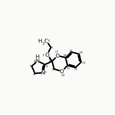 CCOC1(C2=NCCN2)COc2ccccc2O1